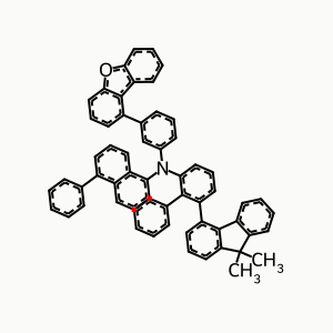 CC1(C)c2ccccc2-c2c(-c3cccc(N(c4cccc(-c5cccc6oc7ccccc7c56)c4)c4cccc5c(-c6ccccc6)cccc45)c3-c3ccccc3)cccc21